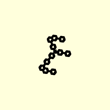 c1ccc(-c2ccc(N(c3ccc(-c4ccc(-c5cccc6ccc(-c7ccccc7)cc56)cc4)cc3)c3ccc(-c4cccc5ccc(-c6ccccc6)cc45)cc3)cc2)cc1